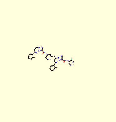 Cc1cc(NC(=O)c2cnc3ccc(-c4ccccc4C(F)(F)F)nn23)cc(Cc2cc(-c3ccccc3C(F)(F)F)nn3c(C(=O)Nc4ccncc4F)cnc23)n1